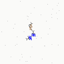 Cc1c(C(C)C)cnn1CCn1cc(C(C)CCSc2ccc(C(C)C)s2)cn1